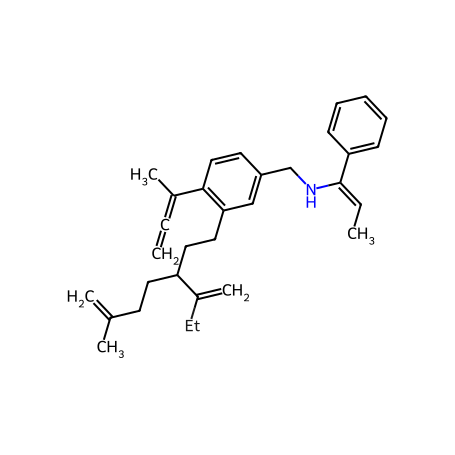 C=C=C(C)c1ccc(CN/C(=C\C)c2ccccc2)cc1CCC(CCC(=C)C)C(=C)CC